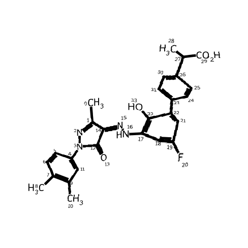 CC1=NN(c2ccc(C)c(C)c2)C(=O)C1=NNc1cc(F)cc(-c2ccc(C(C)C(=O)O)cc2)c1O